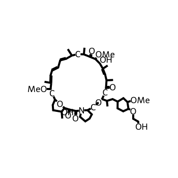 COC1CC2CCC(C)C(O)(O2)C(=O)C(=O)N2CCCCC2COC(C(C)CC2CCC(OCCO)C(OC)C2)CC(=O)C(C)/C=C(/C)C(O)C(OC)C(=O)C(C)CC(C)/C=C/C=C/C=C\1C